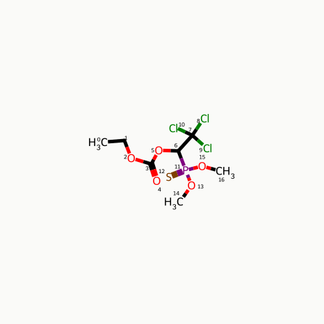 CCOC(=O)OC(C(Cl)(Cl)Cl)P(=S)(OC)OC